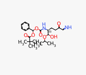 CC(C)OC(O)[C@H](CCC(=O)C=N)NC(=O)OC(OC(=O)C(C)(C)C)c1ccccc1